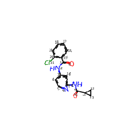 O=C(Nc1ccnc(NC(=O)C2CC2)c1)c1ccccc1Cl